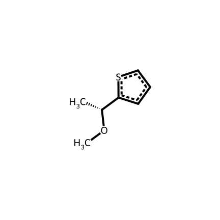 CO[C@H](C)c1cccs1